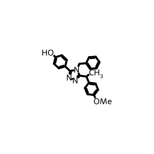 COc1ccc(C(C)c2nnc(-c3ccc(O)cc3)n2Cc2ccccc2)cc1